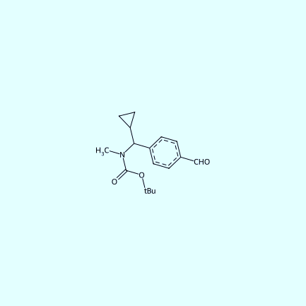 CN(C(=O)OC(C)(C)C)C(c1ccc(C=O)cc1)C1CC1